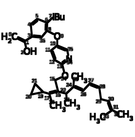 C=C(O)c1ccc(C(C)CC)c(Oc2ccc(OC/C(=C(/C)C3CC3)C(C)/C(C)=C/C=C\CC=C(C)C)nc2)c1